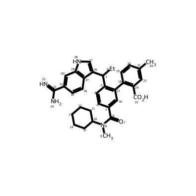 CCC(c1ccc(C(=O)N(C)C2CCCCC2)cc1-c1ccc(C)cc1C(=O)O)c1c[nH]c2cc(C(=N)N)ccc12